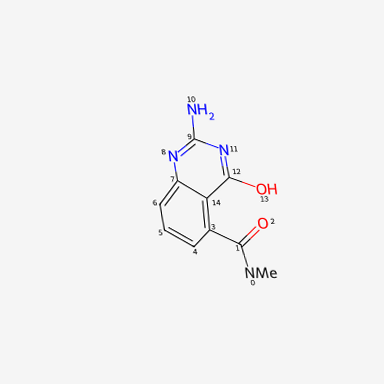 CNC(=O)c1cccc2nc(N)nc(O)c12